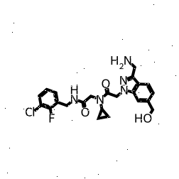 NCc1nn(CC(=O)N(CC(=O)NCc2cccc(Cl)c2F)C2CC2)c2cc(CO)ccc12